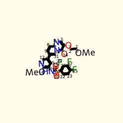 COCCOc1cnc2ccc(-c3cnc(OC)c(NS(=O)(=O)c4ccc(F)c(F)c4F)c3)cn2c1=O